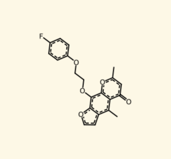 Cc1cc(=O)c2c(C)c3ccoc3c(OCCOc3ccc(F)cc3)c2o1